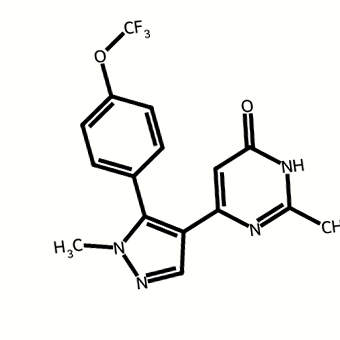 Cc1nc(-c2cnn(C)c2-c2ccc(OC(F)(F)F)cc2)cc(=O)[nH]1